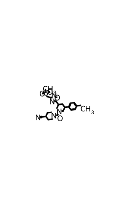 CCc1ccc(C2CC(c3nc(CS(C)(=O)=O)no3)CN(C(=O)N3CCC(C#N)CC3)C2)cc1